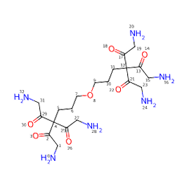 NCC(=O)C(CCCOCCCC(C(=O)CN)(C(=O)CN)C(=O)CN)(C(=O)CN)C(=O)CN